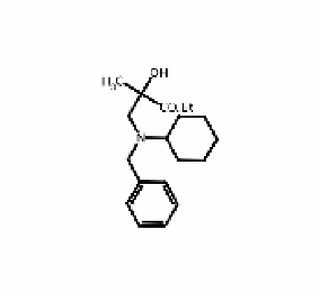 CCOC(=O)C(C)(O)CN(Cc1ccccc1)C1CCCCC1